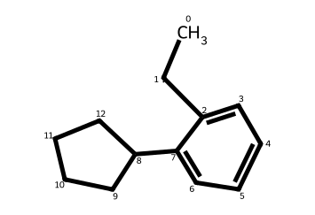 C[CH]c1ccccc1C1CCCC1